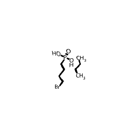 CCCC.O=P(O)(O)CCCCBr